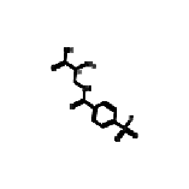 N[C@@H](CNC(=O)c1ccc(S(=O)(=O)F)cc1)C(=O)O